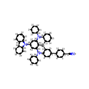 N#Cc1ccc(-c2ccc3c(c2)B2c4ccccc4N(c4ccccc4)c4cc(-n5c6ccccc6c6ccccc65)cc(c42)N3c2ccccc2)cc1